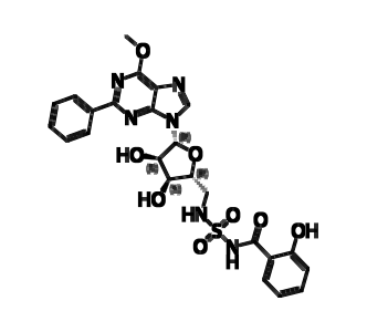 COc1nc(-c2ccccc2)nc2c1ncn2[C@@H]1O[C@H](CNS(=O)(=O)NC(=O)c2ccccc2O)[C@@H](O)[C@H]1O